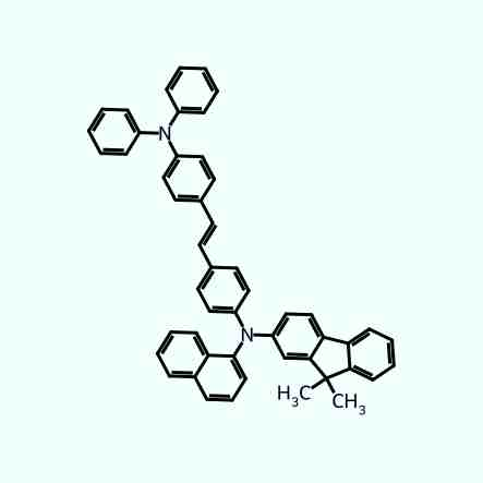 CC1(C)c2ccccc2-c2ccc(N(c3ccc(/C=C/c4ccc(N(c5ccccc5)c5ccccc5)cc4)cc3)c3cccc4ccccc34)cc21